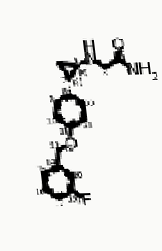 NC(=O)CN[C@@H]1C[C@H]1c1ccc(OCc2cccc(F)c2)cc1